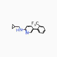 FC(F)(F)c1ccccc1-c1ccc(NCC2CC2)nc1